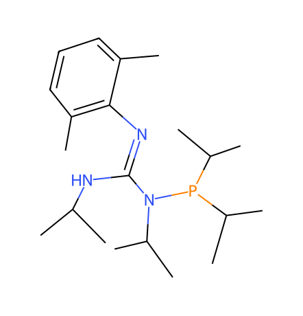 Cc1cccc(C)c1/N=C(\NC(C)C)N(C(C)C)P(C(C)C)C(C)C